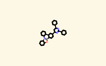 c1ccc(-c2cc(-c3ccc4c(c3)-c3ccccc3N3B4Oc4ccccc43)nc(-c3ccccc3)n2)cc1